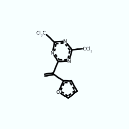 C=C(c1nc(C(Cl)(Cl)Cl)nc(C(Cl)(Cl)Cl)n1)c1ccco1